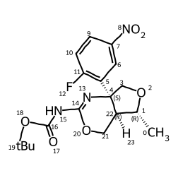 C[C@H]1OC[C@]2(c3cc([N+](=O)[O-])ccc3F)N=C(NC(=O)OC(C)(C)C)OC[C@H]12